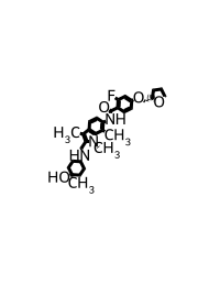 Cc1c(CN[C@H]2CC[C@@](C)(O)CC2)n(C)c2c(C)c(NC(=O)c3ccc(OC[C@@H]4CCCO4)cc3F)ccc12